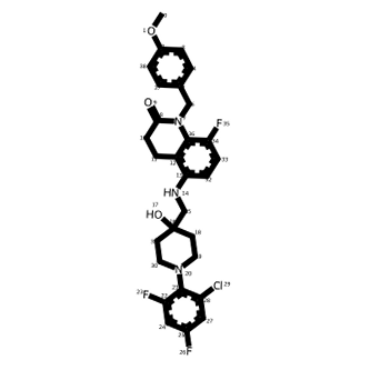 COc1ccc(CN2C(=O)CCc3c(NCC4(O)CCN(c5c(F)cc(F)cc5Cl)CC4)ccc(F)c32)cc1